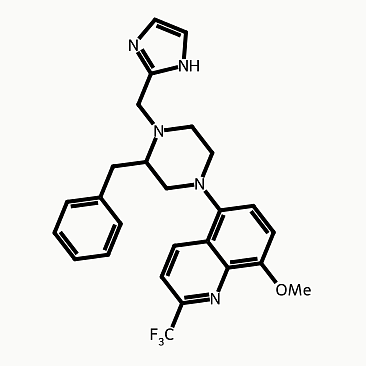 COc1ccc(N2CCN(Cc3ncc[nH]3)C(Cc3ccccc3)C2)c2ccc(C(F)(F)F)nc12